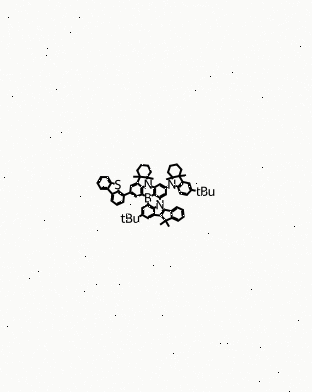 CC(C)(C)c1ccc2c(c1)C1(C)CCCCC1(C)N2c1cc2c3c(c1)-n1c4c(c5cc(C(C)(C)C)cc(c51)B3c1cc(-c3cccc5c3sc3ccccc35)cc3c1N2C1(C)CCCCC31C)C(C)(C)c1ccccc1-4